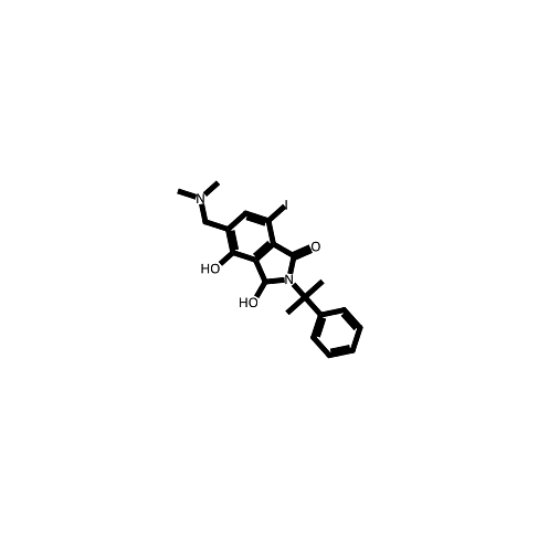 CN(C)Cc1cc(I)c2c(c1O)C(O)N(C(C)(C)c1ccccc1)C2=O